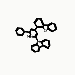 C1=C(c2cccc3c2oc2ccccc23)C=C(n2c3ccccc3c3ccccc32)NC1c1ccccc1